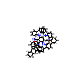 N#Cc1c(-n2c3ccccc3c3ccccc32)c(-n2c3ccccc3c3ccccc32)c(C#N)c(-n2c3cc(-c4cc5ccccc5cc4-c4ccccc4)ccc3c3ccc4c5ccccc5sc4c32)c1-n1c2ccccc2c2ccccc21